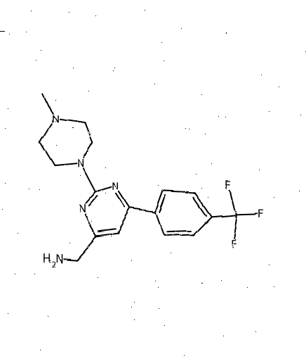 CN1CCN(c2nc(CN)cc(-c3ccc(C(F)(F)F)cc3)n2)CC1